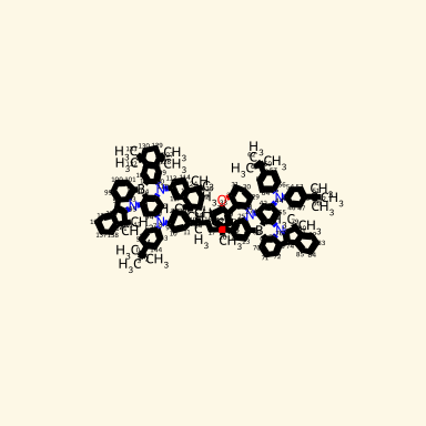 CC(C)(C)c1ccc(N(c2ccc(C(C)(C)CCC(C)(C)c3ccc4c(c3)N(c3cccc5oc6ccccc6c35)c3cc(N(c5ccc(C(C)(C)C)cc5)c5ccc(C(C)(C)C)cc5)cc5c3B4c3cccc4c6c(n-5c34)C(C)(C)c3ccccc3-6)cc2)c2cc3c4c(c2)-n2c5c(c6cccc(c62)B4c2cc4c(cc2N3c2ccc3c(c2)C(C)(C)CCC3(C)C)C(C)(C)CCC4(C)C)-c2ccccc2C5(C)C)cc1